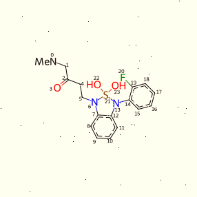 CNCC(=O)CCN1c2ccccc2N(c2ccccc2F)S1(O)O